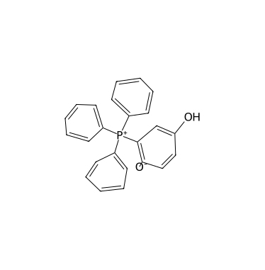 [O-]c1ccc(O)cc1[P+](c1ccccc1)(c1ccccc1)c1ccccc1